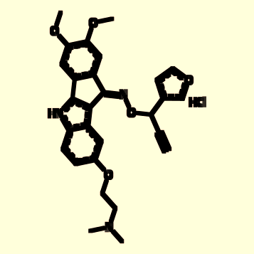 C#CC(ON=C1c2cc(OC)c(OC)cc2-c2[nH]c3ccc(OCCN(C)C)cc3c21)c1ccoc1.Cl